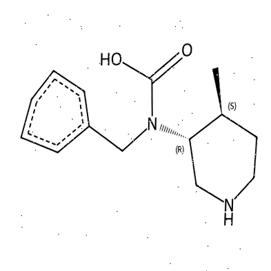 C[C@H]1CCNC[C@@H]1N(Cc1ccccc1)C(=O)O